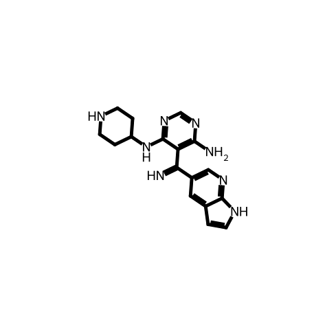 N=C(c1cnc2[nH]ccc2c1)c1c(N)ncnc1NC1CCNCC1